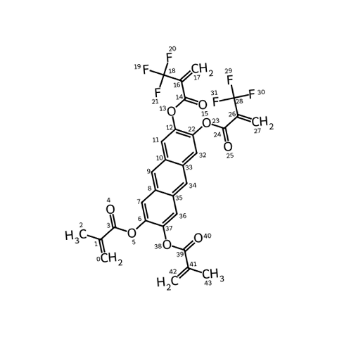 C=C(C)C(=O)Oc1cc2cc3cc(OC(=O)C(=C)C(F)(F)F)c(OC(=O)C(=C)C(F)(F)F)cc3cc2cc1OC(=O)C(=C)C